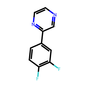 Fc1ccc(-c2[c]nccn2)cc1F